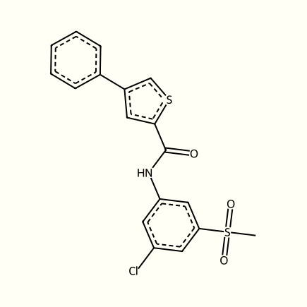 CS(=O)(=O)c1cc(Cl)cc(NC(=O)c2cc(-c3ccccc3)cs2)c1